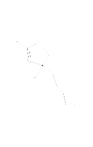 CCCCCCCCC1(Cl)CSC(Cl)=N1